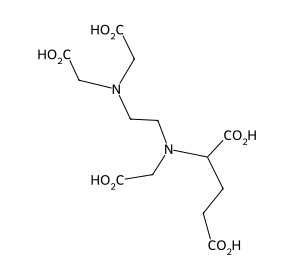 O=C(O)CCC(C(=O)O)N(CCN(CC(=O)O)CC(=O)O)CC(=O)O